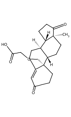 C[C@]12CC[C@H]3[C@@H](CCC4=CC(=O)CC[C@@]43COCC(=O)O)[C@@H]1CCC2=O